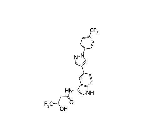 O=C(CC(O)C(F)(F)F)Nc1c[nH]c2ccc(-c3cnn(-c4ccc(C(F)(F)F)cc4)c3)cc12